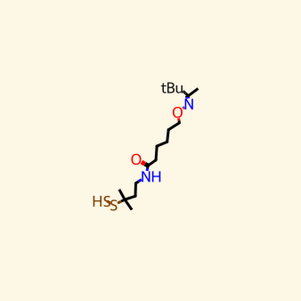 C/C(=N/OCCCCCC(=O)NCCC(C)(C)SS)C(C)(C)C